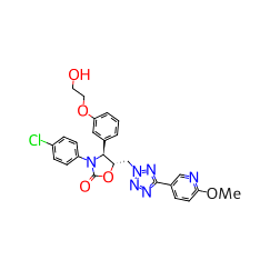 COc1ccc(-c2nnn(C[C@@H]3OC(=O)N(c4ccc(Cl)cc4)[C@H]3c3cccc(OCCO)c3)n2)cn1